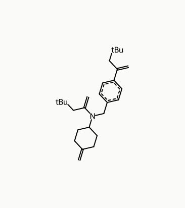 C=C1CCC(N(Cc2ccc(C(=C)CC(C)(C)C)cc2)C(=C)CC(C)(C)C)CC1